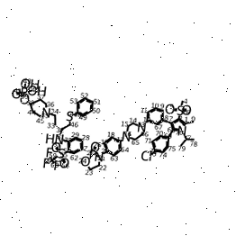 Cc1c(S(C)(=O)=O)c(-c2cccc(N3CCN(c4ccc(N5CCO[P@]5(=O)c5ccc(N[C@H](CCN6CCC(OP(=O)(O)O)CC6)CSc6ccccc6)c(S(=O)(=O)C(F)(F)F)c5)cc4)CC3)c2)c(-c2ccc(Cl)cc2)n1C(C)C